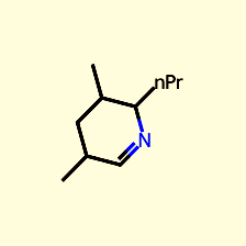 CCCC1N=CC(C)CC1C